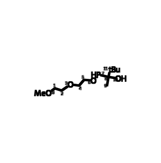 COCCOCCOPC(C)(O)C(C)(C)C